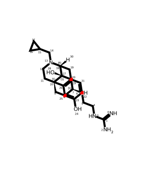 N=C(N)NCCN[C@H]1CC[C@]23CCN(CC4CC4)[C@H](Cc4ccc(O)cc42)[C@]3(O)C1